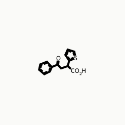 O=C(CC(C(=O)O)c1cccs1)c1ccccc1